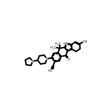 C#Cc1cc2c(cc1N1CCC(N3CCCC3)CC1)C(C)(C)c1[nH]c3c(c1C2=O)CCC(C#N)=C3